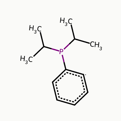 CC(C)P(c1[c]cccc1)C(C)C